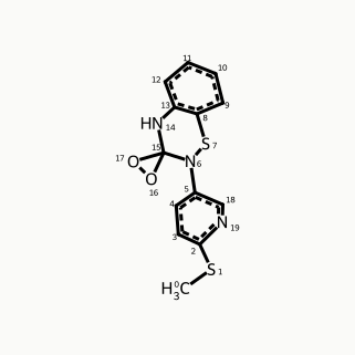 CSc1ccc(N2Sc3ccccc3NC23OO3)cn1